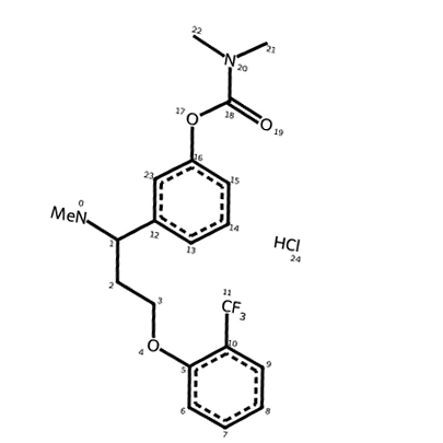 CNC(CCOc1ccccc1C(F)(F)F)c1cccc(OC(=O)N(C)C)c1.Cl